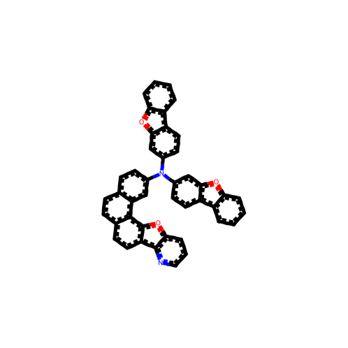 c1ccc2c(c1)oc1cc(N(c3ccc4c(c3)oc3ccccc34)c3ccc4ccc5ccc6c7ncccc7oc6c5c4c3)ccc12